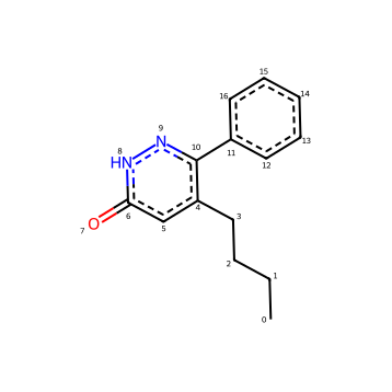 CCCCc1cc(=O)[nH]nc1-c1ccccc1